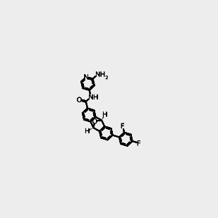 Nc1cc(NC(=O)c2ccc3c(c2)[C@@H]2O[C@H]3c3ccc(-c4ccc(F)cc4F)cc32)ccn1